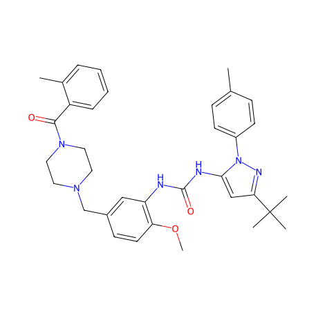 COc1ccc(CN2CCN(C(=O)c3ccccc3C)CC2)cc1NC(=O)Nc1cc(C(C)(C)C)nn1-c1ccc(C)cc1